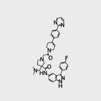 CN(C)CC1(C(=O)Nc2ccc3[nH]nc(-c4ccc(F)cc4)c3c2)CCN(CC(=O)N2CC=C(c3ccc(-c4ncccn4)cc3)CC2)C1